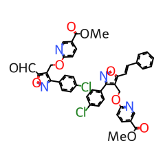 COC(=O)c1ccc(OCc2c(-c3ccc(Cl)cc3)noc2C=Cc2ccccc2)nc1.COC(=O)c1ccc(OCc2c(-c3ccc(Cl)cc3)noc2C=O)nc1